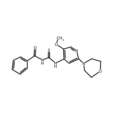 COc1cnc(N2CCOCC2)cc1NC(=S)NC(=O)c1ccccc1